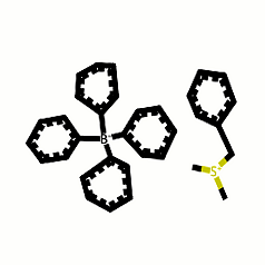 C[S+](C)Cc1ccccc1.c1ccc([B-](c2ccccc2)(c2ccccc2)c2ccccc2)cc1